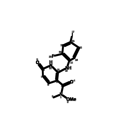 CON(C)C(=O)c1ccc(=O)[nH]c1Nc1ccc(I)cc1F